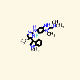 CN(C)CCN(C)c1cc(F)c(Nc2ncc(C(F)(F)F)c(-c3cn(C)c4ccccc34)n2)cc1N